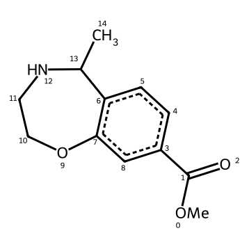 COC(=O)c1ccc2c(c1)OCCNC2C